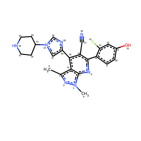 Cc1nn(C)c2nc(-c3ccc(O)cc3F)c(C#N)c(-c3cn(C4CCNCC4)cn3)c12